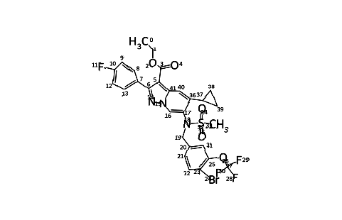 CCOC(=O)c1c(-c2ccc(F)cc2)nn2cc(N(Cc3ccc(Br)c(OC(F)(F)F)c3)S(C)(=O)=O)c(C3CC3)cc12